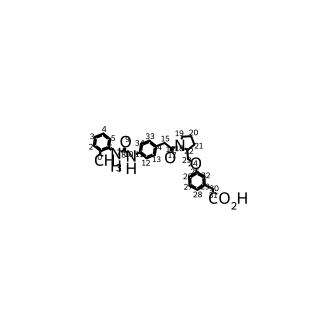 Cc1ccccc1NC(=O)Nc1ccc(CC(=O)N2CCCC2COc2cccc(CC(=O)O)c2)cc1